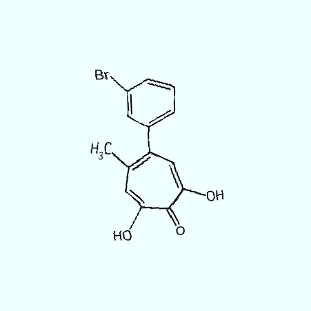 Cc1cc(O)c(=O)c(O)cc1-c1cccc(Br)c1